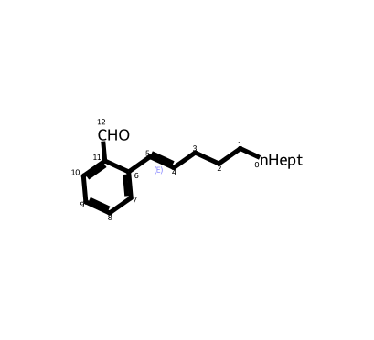 CCCCCCCCCC/C=C/c1ccccc1C=O